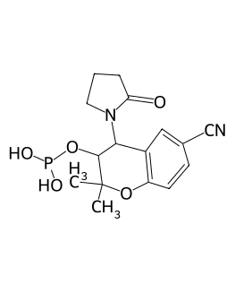 CC1(C)Oc2ccc(C#N)cc2C(N2CCCC2=O)C1OP(O)O